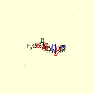 O=C(NCc1ccc(S(=O)(=O)c2cc(F)cc(OCC(F)(F)F)c2)cc1)c1cc2ccncc2o1